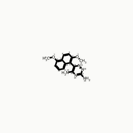 COc1ccc2c(OC)cccc2c1-c1nnc(N)nc1N